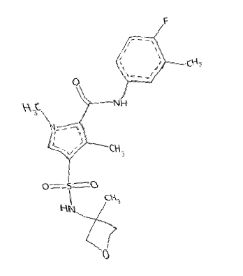 Cc1cc(NC(=O)c2c(C)c(S(=O)(=O)NC3(C)COC3)cn2C)ccc1F